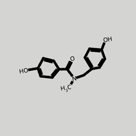 CN(Cc1ccc(O)cc1)C(=O)c1ccc(O)cc1